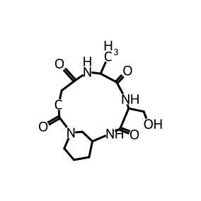 CC1NC(=O)CCC(=O)N2CCCC(C2)NC(=O)C(CO)NC1=O